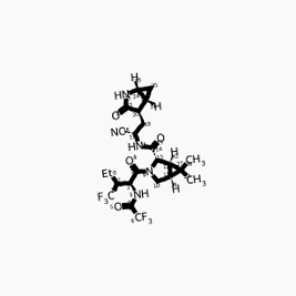 CCC([C@H](NC(=O)C(F)(F)F)C(=O)N1C[C@H]2[C@@H]([C@H]1C(=O)N[C@H](C#N)C[C@H]1C(=O)N[C@@H]3C[C@@H]31)C2(C)C)C(F)(F)F